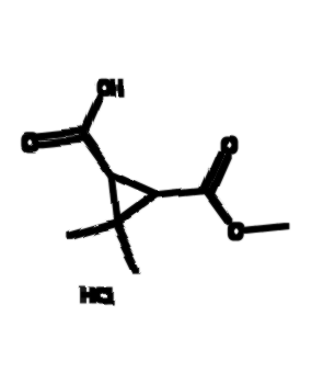 COC(=O)C1C(C(=O)O)C1(C)C.Cl